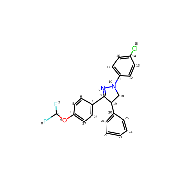 FC(F)Oc1ccc(C2=NN(c3ccc(Cl)cc3)CC2c2ccccc2)cc1